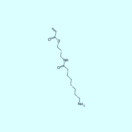 C=CC(=O)OCCCNC(=O)CCCCCCCN